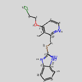 Cc1c(OCCCl)ccnc1CSc1nc2ccccc2[nH]1